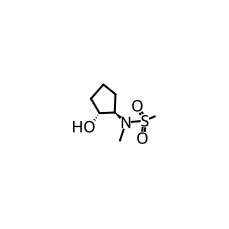 CN([C@@H]1CCC[C@H]1O)S(C)(=O)=O